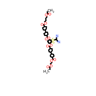 C=CC(=O)OCCCCOC(=O)C1CCC(C2CCC(C(=O)Oc3ccc(OC(=O)C4CCC(C5CCC(C(=O)OCCOC(=O)C=C)CC5)CC4)c4c3SC(=C(C#N)C#N)S4)CC2)CC1